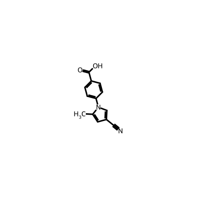 Cc1cc(C#N)cn1-c1ccc(C(=O)O)cc1